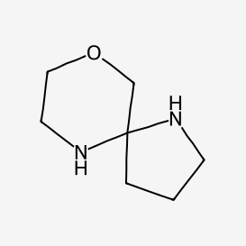 C1CNC2(C1)COCCN2